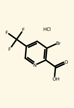 Cl.O=C(O)c1ncc(C(F)(F)F)cc1Br